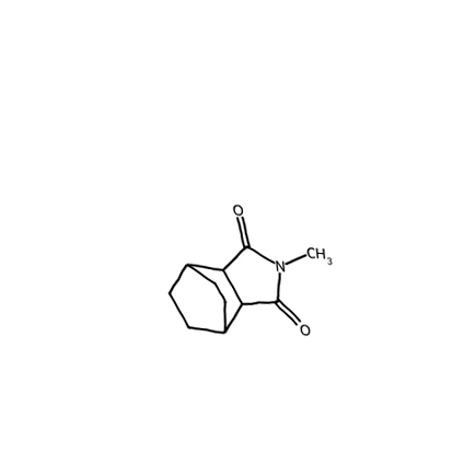 CN1C(=O)C2C3CCC(CC3)C2C1=O